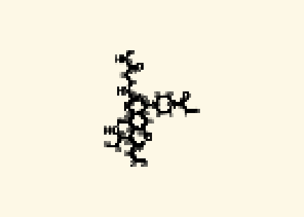 C=CC(=O)N1CCN(c2nc(NCCC(=O)NC)nc3c(F)c(/C(=C(F)/C=C\C)C(O)CC)c(Cl)cc23)CC1